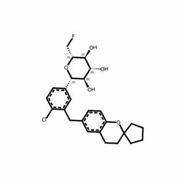 O[C@@H]1[C@@H](O)[C@H](c2ccc(Cl)c(Cc3ccc4c(c3)CCC3(CCCC3)O4)c2)O[C@H](CF)[C@H]1O